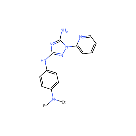 CCN(CC)c1ccc(Nc2nc(N)n(-c3ccccn3)n2)cc1